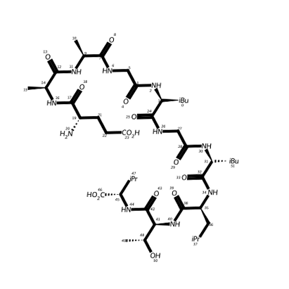 CC[C@H](C)[C@H](NC(=O)CNC(=O)[C@H](C)NC(=O)[C@H](C)NC(=O)[C@@H](N)CCC(=O)O)C(=O)NCC(=O)N[C@H](C(=O)N[C@@H](CC(C)C)C(=O)N[C@H](C(=O)N[C@H](C(=O)O)C(C)C)[C@@H](C)O)[C@@H](C)CC